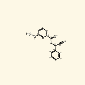 COc1cccc(C(=O)CC(C#N)c2ccccc2)c1